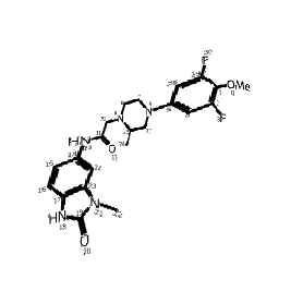 COc1c(F)cc(N2CCN(CC(=O)Nc3ccc4[nH]c(=O)n(C)c4c3)[C@H](C)C2)cc1F